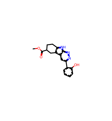 COC(=O)C1CCc2[nH]c3nnc(-c4ccccc4O)cc3c2C1